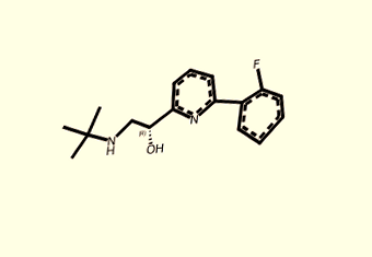 CC(C)(C)NC[C@@H](O)c1cccc(-c2ccccc2F)n1